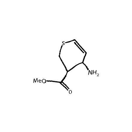 COC(=O)C1CSC=CC1N